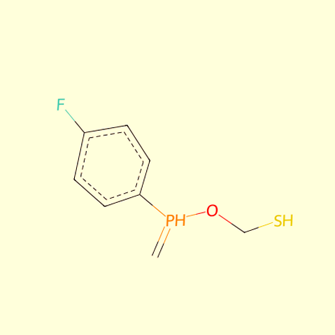 C=[PH](OCS)c1ccc(F)cc1